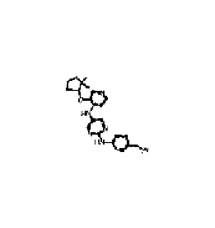 CC(C)Cc1ccc(Nc2ncc(Nc3ccncc3OC3CCCC3(C)C)cn2)cc1